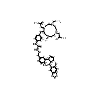 CCN1CCN(CC(=O)O)CCN(C)CC(Cc2ccc(NC(=S)NCCc3ccc4c(c3)C3C=CCC3C(c3cc5c(cc3Br)OCO5)N4)cc2)N(CC(=O)O)CC1